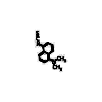 CN(C)c1cccc2c(N=C=S)cccc12